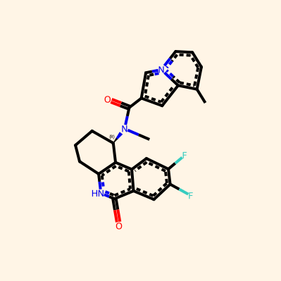 Cc1cccn2cc(C(=O)N(C)[C@@H]3CCCc4[nH]c(=O)c5cc(F)c(F)cc5c43)cc12